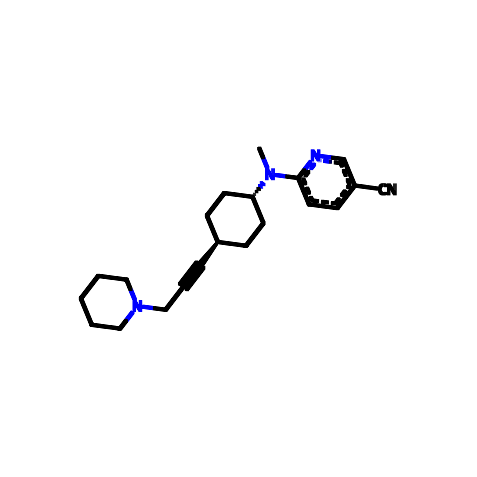 CN(c1ccc(C#N)cn1)[C@H]1CC[C@H](C#CCN2CCCCC2)CC1